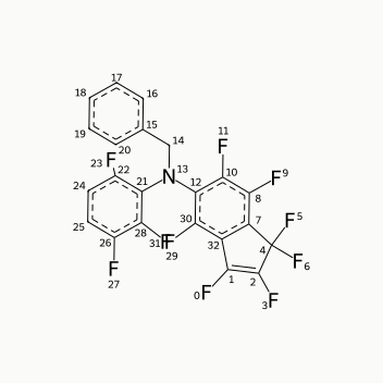 FC1=C(F)C(F)(F)c2c(F)c(F)c(N(Cc3ccccc3)c3c(F)ccc(F)c3F)c(F)c21